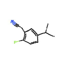 [CH2]C(C)c1ccc(F)c(C#N)c1